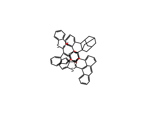 c1ccc(C2C3CC4CC(C3)CC2(c2ccccc2-c2cccc3cc5ccccc5c(-c5nc6ccccc6s5)c23)C4)c(-c2cccc3cc4ccccc4c(-c4nc5ccccc5s4)c23)c1